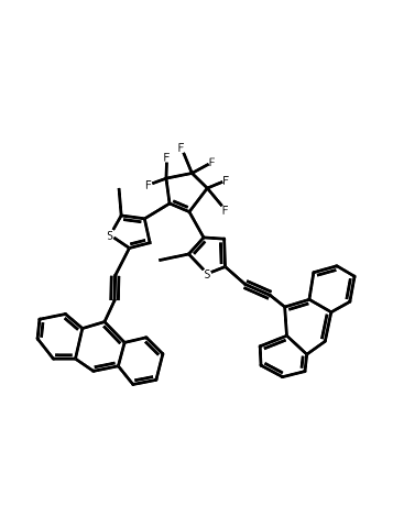 Cc1sc(C#Cc2c3ccccc3cc3ccccc23)cc1C1=C(c2cc(C#Cc3c4ccccc4cc4ccccc34)sc2C)C(F)(F)C(F)(F)C1(F)F